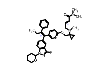 CN(C)C(=O)/C=C/CN(C)C1(COc2ccc(/C(=C(/CC(F)(F)F)c3ccccc3)c3ccc4c(c3)c(F)nn4C3CCCCO3)cn2)CC1